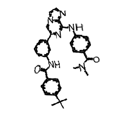 CN(C)C(=O)c1ccc(Nc2nc(-c3cccc(NC(=O)c4ccc(C(C)(C)C)cc4)c3)cn3ccnc23)cc1